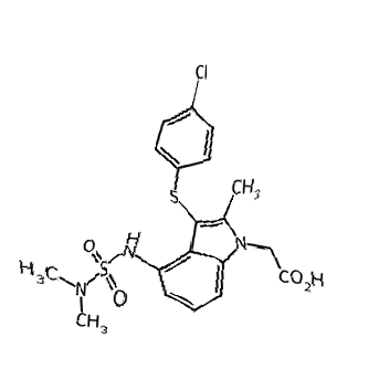 Cc1c(Sc2ccc(Cl)cc2)c2c(NS(=O)(=O)N(C)C)cccc2n1CC(=O)O